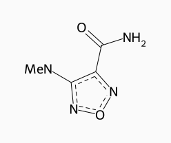 CNc1nonc1C(N)=O